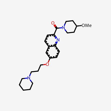 COC1CCN(C(=O)c2ccc3cc(OCCCN4CCCCC4)ccc3n2)CC1